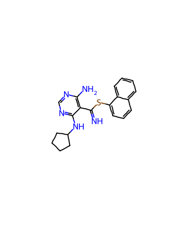 N=C(Sc1cccc2ccccc12)c1c(N)ncnc1NC1CCCC1